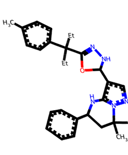 CCC(CC)(C1=NNC(c2cnn3c2NC(c2ccccc2)CC3(C)C)O1)c1ccc(C)cc1